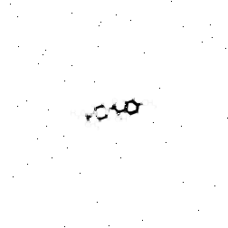 Cc1ccc(C(O)C(=O)N2CCN(C(C)C)CC2)cc1